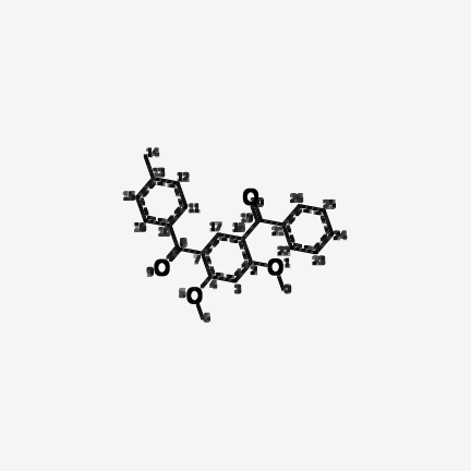 COc1cc(OC)c(C(=O)c2ccc(C)cc2)cc1C(=O)c1ccccc1